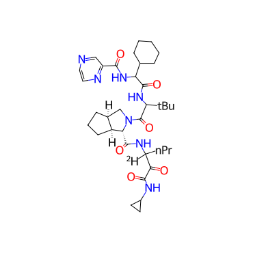 [2H]C(CCC)(NC(=O)[C@@H]1[C@H]2CCC[C@H]2CN1C(=O)C(NC(=O)C(NC(=O)c1cnccn1)C1CCCCC1)C(C)(C)C)C(=O)C(=O)NC1CC1